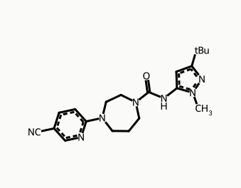 Cn1nc(C(C)(C)C)cc1NC(=O)N1CCCN(c2ccc(C#N)cn2)CC1